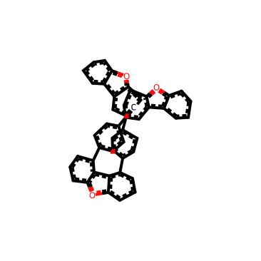 c1ccc2c(c1)oc1ccc(-c3ccc(-c4cccc5oc6cccc(-c7ccc(-c8ccc9oc%10ccccc%10c9c8)cc7)c6c45)cc3)cc12